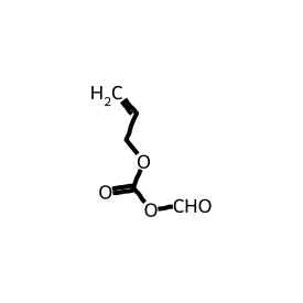 C=CCOC(=O)OC=O